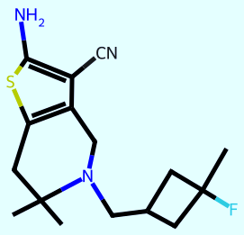 CC1(F)CC(CN2Cc3c(sc(N)c3C#N)CC2(C)C)C1